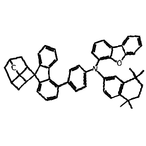 CC1(C)CCC(C)(C)c2cc(N(c3ccc(-c4cccc5c4-c4ccccc4C54C5CC6CC7CC4C75C6)cc3)c3cccc4c3oc3ccccc34)ccc21